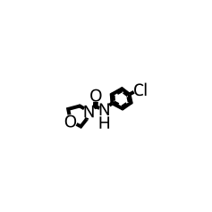 O=C(Nc1ccc(Cl)cc1)N1CCOCC1